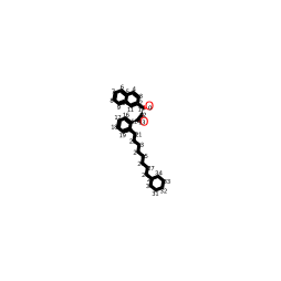 O=C(c1ccc2ccccc2c1)[C@@H]1O[C@H]1c1ccccc1CCCCCCCCC1CCCCC1